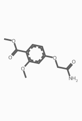 COC(=O)c1ccc(OCC(N)=O)cc1OC